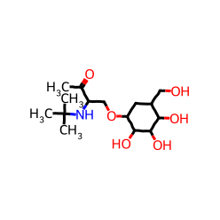 CC(=O)C(COC1CC(CO)C(O)C(O)C1O)NC(C)(C)C